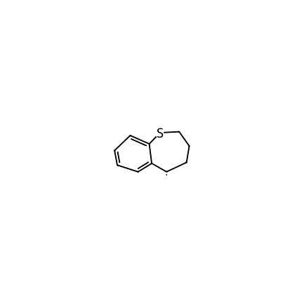 [CH]1CCCSc2ccccc21